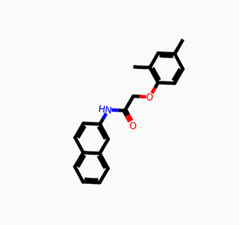 Cc1ccc(OCC(=O)Nc2ccc3ccccc3c2)c(C)c1